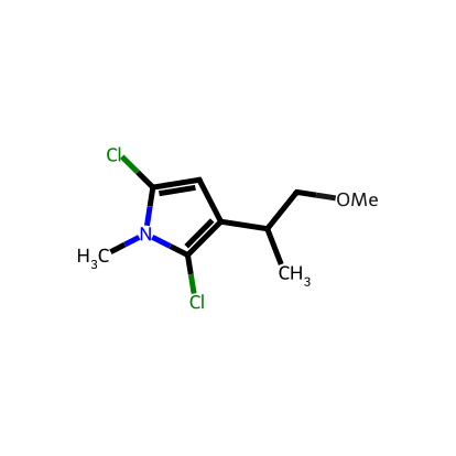 COCC(C)c1cc(Cl)n(C)c1Cl